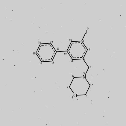 Ic1cc(CN2CCOCC2)[c]c(-c2ccccc2)c1